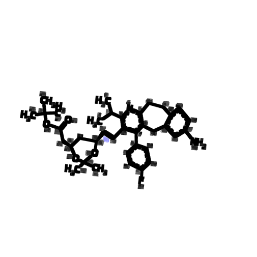 CC(C)c1nc2c(c(-c3ccc(F)cc3)c1/C=C/[C@@H]1C[C@H](CC(=O)OC(C)(C)C)OC(C)(C)O1)Cc1cc(N)ccc1CC2